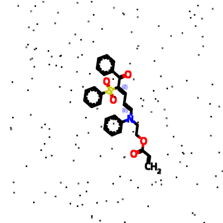 C=CC(=O)OCCN(/C=C/C=C(/C(=O)c1ccccc1)S(=O)(=O)c1ccccc1)c1ccccc1